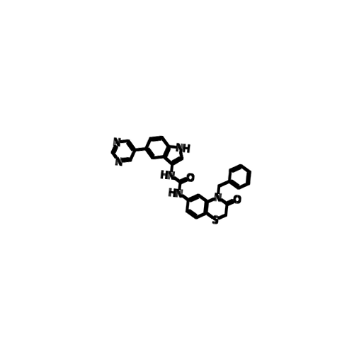 O=C(Nc1ccc2c(c1)N(Cc1ccccc1)C(=O)CS2)Nc1c[nH]c2ccc(-c3cncnc3)cc12